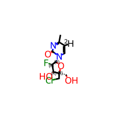 [2H]c1cn([C@@H]2O[C@@](CO)(CCl)[C@@H](O)[C@H]2F)c(=O)nc1C